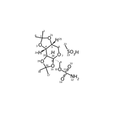 CC1(C)O[C@@H]2[C@@H](CO[C@@]3(COS(N)(=O)=O)OC(C)(C)O[C@@H]23)O1.CS(=O)(=O)O